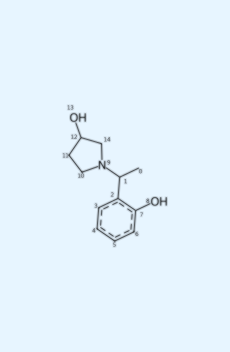 CC(c1ccccc1O)N1CCC(O)C1